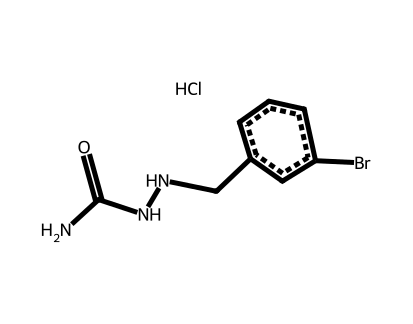 Cl.NC(=O)NNCc1cccc(Br)c1